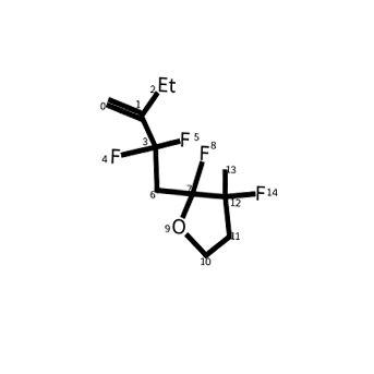 C=C(CC)C(F)(F)CC1(F)OCCC1(C)F